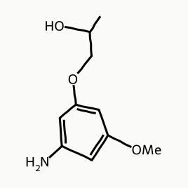 COc1cc(N)cc(OCC(C)O)c1